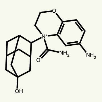 NC(=O)[N+]1(C2C3CC4CC2CC(O)(C4)C3)CCOc2ccc(N)cc21